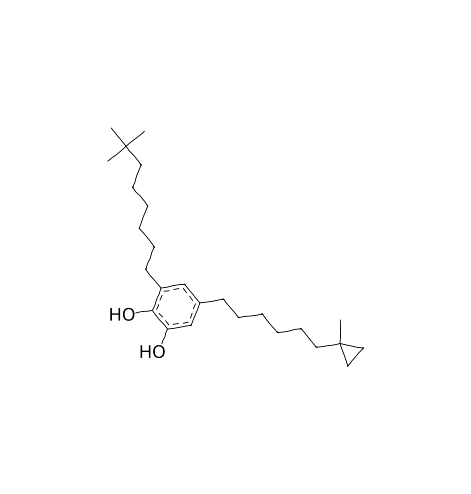 CC(C)(C)CCCCCCc1cc(CCCCCCC2(C)CC2)cc(O)c1O